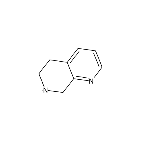 c1cnc2c(c1)CC[N]C2